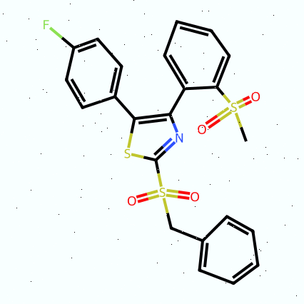 CS(=O)(=O)c1ccccc1-c1nc(S(=O)(=O)Cc2ccccc2)sc1-c1ccc(F)cc1